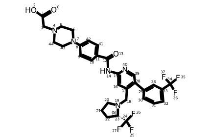 O=C(O)CN1CCN(c2ccc(C(=O)Nc3cc(CN4CCC[C@H]4C(F)(F)F)c(-c4cccc(C(F)(F)F)c4)cn3)cc2)CC1